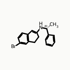 C[C@@H](NC1=Cc2ccc(Br)cc2CC1)c1ccccc1